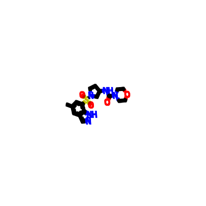 Cc1cc(S(=O)(=O)N2CCC(NC(=O)N3CCOCC3)C2)c2[nH]ncc2c1